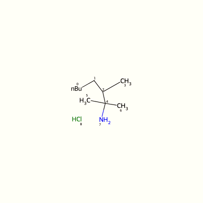 CCCCCC(C)C(C)(C)N.Cl